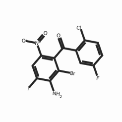 Nc1c(I)cc([N+](=O)[O-])c(C(=O)c2cc(F)ccc2Cl)c1Br